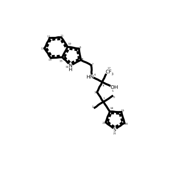 CC(C)(CC(O)(NCc1cc2ccccc2[nH]1)C(F)(F)F)c1ccsc1